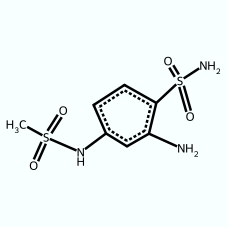 CS(=O)(=O)Nc1ccc(S(N)(=O)=O)c(N)c1